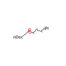 CCCCCCCCCCCCCCCCCC(=O)OCC=C(C)CCCC(C)CCCC(C)CCCC(C)C